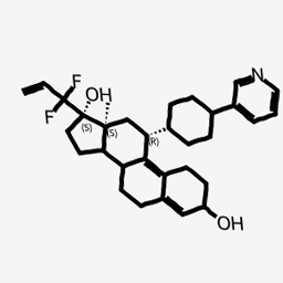 C=CC(F)(F)[C@]1(O)CCC2C3CCC4=CC(O)CCC4=C3[C@@H](C3CCC(c4cccnc4)CC3)C[C@@]21C